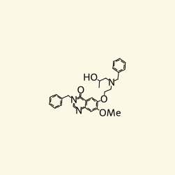 COc1cc2ncn(Cc3ccccc3)c(=O)c2cc1OCCN(Cc1ccccc1)CC(C)O